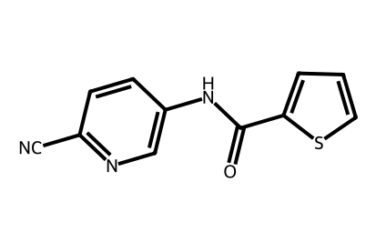 N#Cc1ccc(NC(=O)c2cccs2)cn1